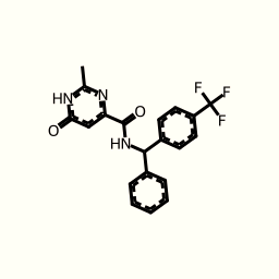 Cc1nc(C(=O)NC(c2ccccc2)c2ccc(C(F)(F)F)cc2)cc(=O)[nH]1